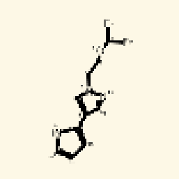 FC(F)OCCn1cc(-c2ccc[nH]2)cn1